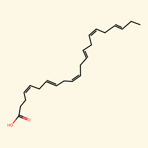 CC/C=C/C/C=C\C/C=C/C/C=C\C/C=C/C/C=C\CCC(=O)O